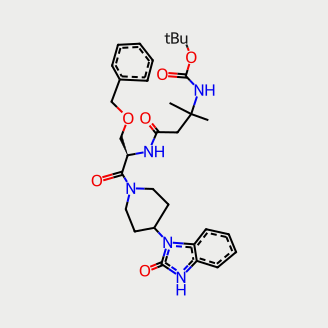 CC(C)(CC(=O)N[C@H](COCc1ccccc1)C(=O)N1CCC(n2c(=O)[nH]c3ccccc32)CC1)NC(=O)OC(C)(C)C